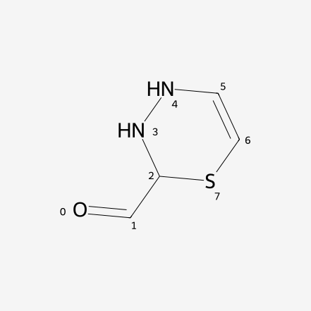 O=CC1NNC=CS1